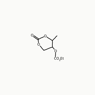 CCOC(=O)OC1COC(=O)OC1C